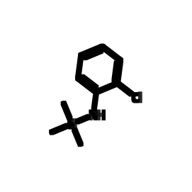 C[Si](C)(C)Nc1ccccc1Cl